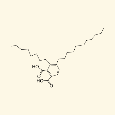 CCCCCCCCCCCc1ccc(C(=O)O)c(C(=O)O)c1CCCCCCCC